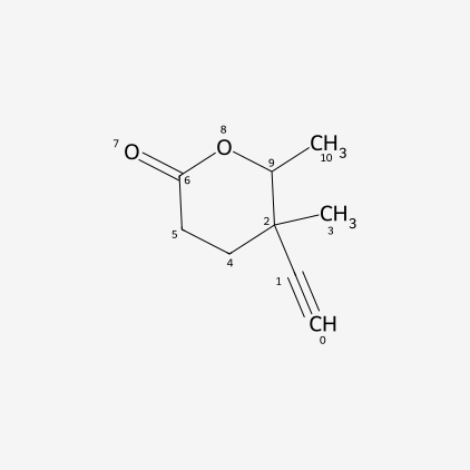 C#CC1(C)CCC(=O)OC1C